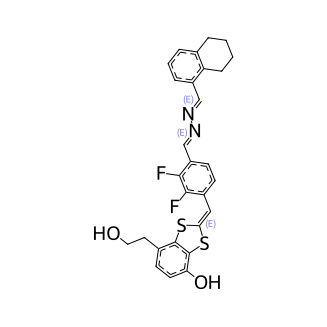 OCCc1ccc(O)c2c1S/C(=C\c1ccc(/C=N/N=C/c3cccc4c3CCCC4)c(F)c1F)S2